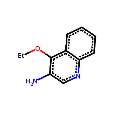 CCOc1c(N)cnc2ccccc12